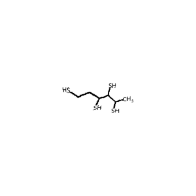 CC(S)C(S)C(S)CCS